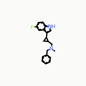 CN(Cc1ccccc1)CC1CC1c1c[nH]c2ccc(F)cc12